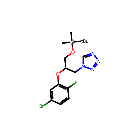 CC(C)(C)[Si](C)(C)OC[C@@H](Cn1cnnn1)Oc1cc(Br)ccc1F